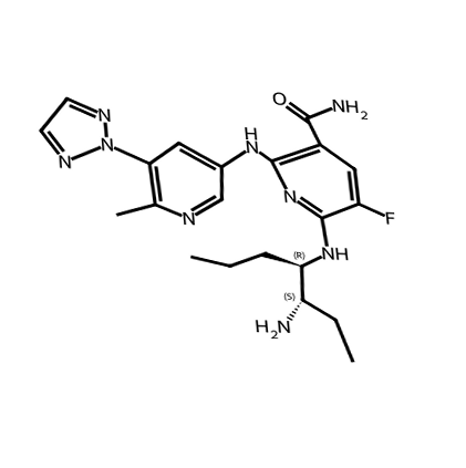 CCC[C@@H](Nc1nc(Nc2cnc(C)c(-n3nccn3)c2)c(C(N)=O)cc1F)[C@@H](N)CC